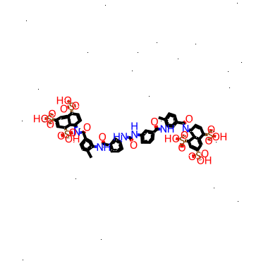 Cc1ccc(C(=O)N=C2C=CC(S(=O)(=O)O)C3=CC(S(=O)(=O)O)=CC(S(=O)(=O)O)C32)cc1NC(=O)c1cccc(NC(=O)Nc2cccc(C(=O)Nc3cc(C(=O)N=C4C=CC(S(=O)(=O)O)C5=CC(S(=O)(=O)O)=CC(S(=O)(=O)O)C54)ccc3C)c2)c1